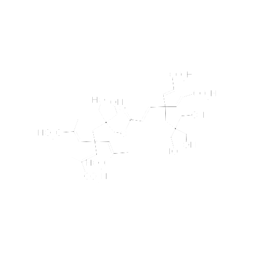 CC(=CC(C=C(C)C(=O)O)(C=C(C)C(=O)O)CC(CO)(CO)COC(=O)C=CC(C=CC(=O)O)(C=CC(=O)O)CC(CO)(CO)CO)C(=O)O